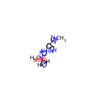 CN(c1ccc(-c2ccc(-c3cnn(C)n3)c3cn[nH]c23)nn1)C1C[C@H]2CC[C@@H](C1)N2C(=O)O